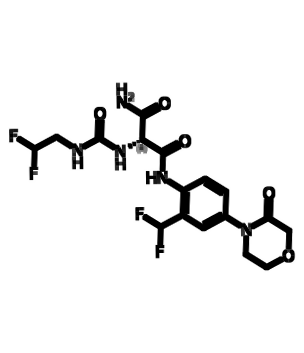 NC(=O)[C@@H](NC(=O)NCC(F)F)C(=O)Nc1ccc(N2CCOCC2=O)cc1C(F)F